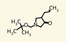 C=CCC1CN(COC(C)(C)C)CC1=O